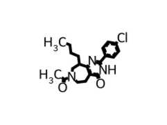 CCCCC1CN(C(C)=O)CCc2c1nc(-c1ccc(Cl)cc1)[nH]c2=O